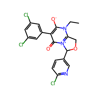 CCn1c([O-])c(-c2cc(Cl)cc(Cl)c2)c(=O)[n+]2c1COC2c1ccc(Cl)nc1